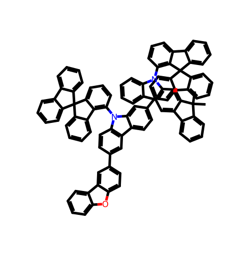 CC1(C)c2ccccc2-c2cc3c4ccccc4n(-c4cccc5c4C4(c6ccccc6-c6cc(-c7ccc8c9cc(-c%10ccc%11oc%12ccccc%12c%11c%10)ccc9n(-c9cccc%10c9-c9ccccc9C%109c%10ccccc%10-c%10ccccc%109)c8c7)ccc64)c4ccccc4-5)c3cc21